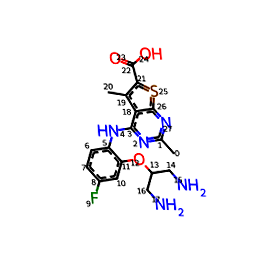 Cc1nc(Nc2ccc(F)cc2OC(CN)CN)c2c(C)c(C(=O)O)sc2n1